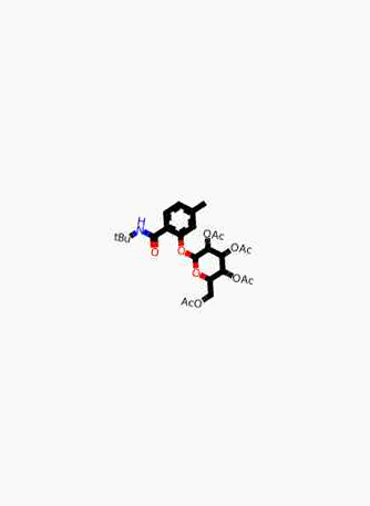 CC(=O)OCC1OC(Oc2cc(C)ccc2C(=O)NC(C)(C)C)C(OC(C)=O)C(OC(C)=O)C1OC(C)=O